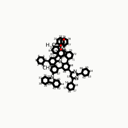 Cc1ccccc1-c1ccc2c(c1)c1cc(-c3ccccc3C)ccc1n2-c1c(-c2cccc(-n3c4ccccc4c4ccccc43)c2)cc(-c2cc(-c3ccccc3)nc(-c3ccccc3)n2)cc1-c1cccc(-n2c3ccccc3c3ccccc32)c1